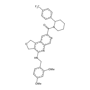 COc1ccc(CNc2nc3cnc(C(=O)N4CCCCC4c4ccc(C(F)(F)F)cc4)cc3c3c2COC3)c(OC)c1